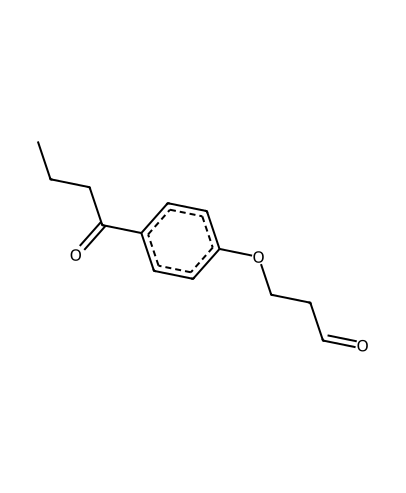 CCCC(=O)c1ccc(OCCC=O)cc1